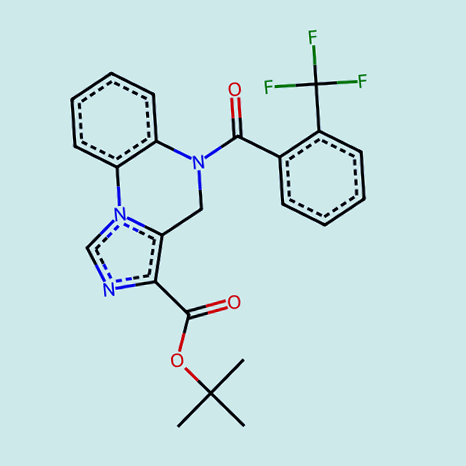 CC(C)(C)OC(=O)c1ncn2c1CN(C(=O)c1ccccc1C(F)(F)F)c1ccccc1-2